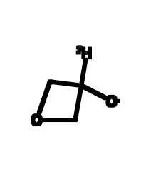 [2H]C1([O])COC1